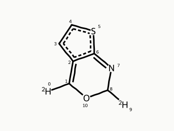 [2H]C1=c2ccsc2=NC([2H])O1